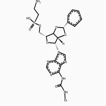 CCNC(=O)Nc1ncnc2c1ncn2[C@@H]1O[C@H](COP(=O)(O)CCN)C2O[C@H](c3ccccc3)O[C@@H]21